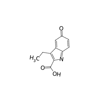 CCC1=C(C(=O)O)N=C2C=CC(=O)C=C21